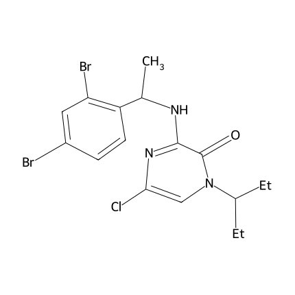 CCC(CC)n1cc(Cl)nc(NC(C)c2ccc(Br)cc2Br)c1=O